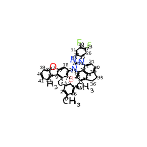 Cc1cc(C)c(B2c3cc4c(cc3-n3c5c2cc2c6c(ccc(c65)n5c6cc(F)c(F)cc6nc35)CC2)oc2ccccc24)c(C)c1